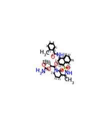 Cc1ccccc1C(=O)Nc1ccc(S(=O)(=O)NC(C)C2CCCN(C(=O)C(OC(N)=O)C(C)(C)C)C2)c2ccccc12